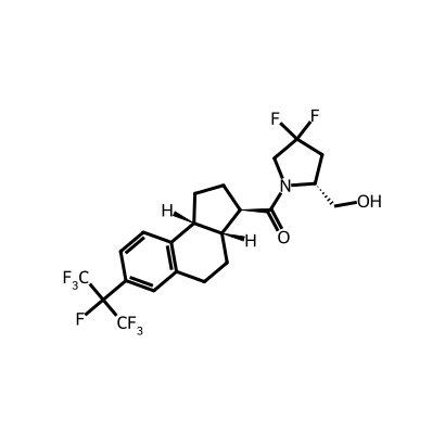 O=C([C@@H]1CC[C@H]2c3ccc(C(F)(C(F)(F)F)C(F)(F)F)cc3CC[C@@H]12)N1CC(F)(F)C[C@@H]1CO